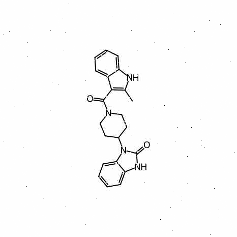 Cc1[nH]c2ccccc2c1C(=O)N1CCC(n2c(=O)[nH]c3ccccc32)CC1